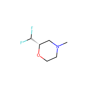 CN1CCO[C@H](C(F)F)C1